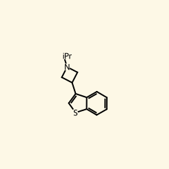 CC(C)N1CC(c2csc3ccccc23)C1